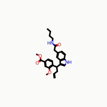 C=CCC(c1ccc(C(=O)OC)cc1OC)c1c[nH]c2ccc(CC(=O)NCCCC)cc12